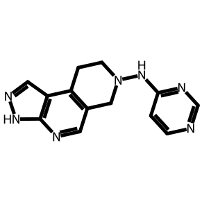 c1cc(NN2CCc3c(cnc4[nH]ncc34)C2)ncn1